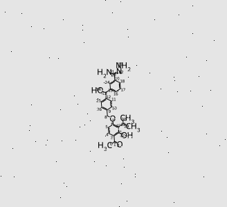 CC(=O)c1ccc(OCc2ccc(C(O)c3cccc(/C(N)=N/N)c3)cc2)c(C(C)C)c1O